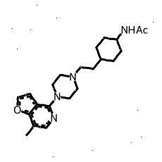 CC(=O)NC1CCC(CCN2CCN(c3ncc(C)c4occc34)CC2)CC1